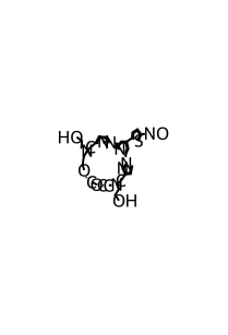 O=Nc1ccc(-c2cc3nc(c2)-n2ccc(n2)CN(CCO)CCOCCOCCN(CCO)Cc2ccn-3n2)s1